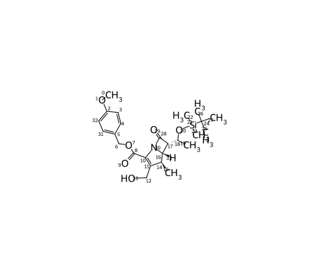 COc1ccc(COC(=O)C2=C(CO)[C@H](C)[C@H]3[C@@H](C(C)O[Si](C)(C)C(C)(C)C)C(=O)N23)cc1